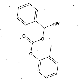 CCCC(OC(=O)Oc1ccccc1C)c1ccccc1